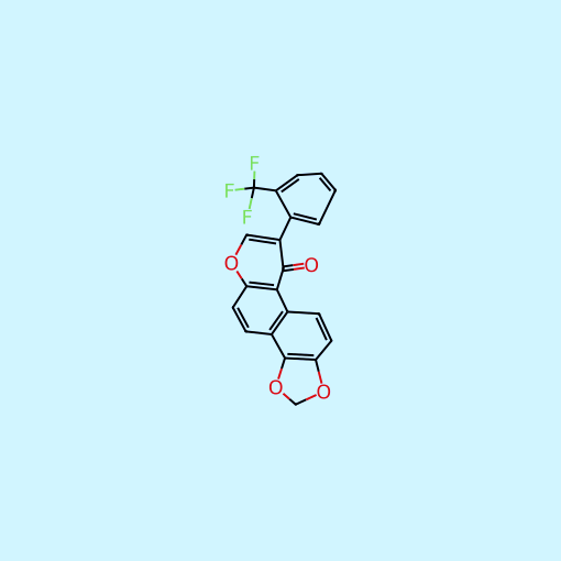 O=c1c(-c2ccccc2C(F)(F)F)coc2ccc3c4c(ccc3c12)OCO4